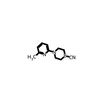 Cc1cccc(N2CCB(C#N)CC2)n1